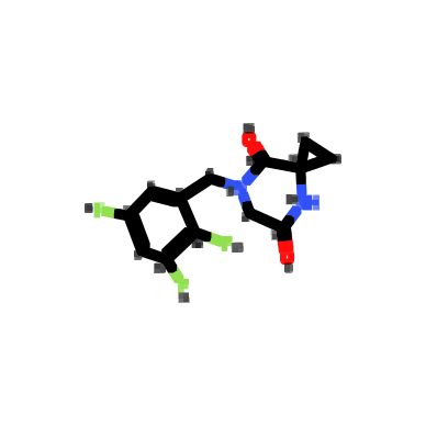 O=C1CN(Cc2cc(F)cc(F)c2F)C(=O)C2(CC2)N1